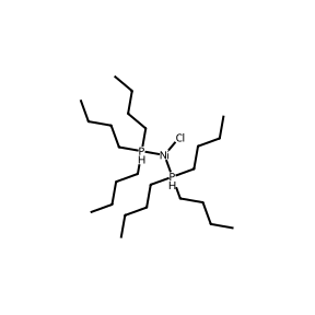 CCCC[PH](CCCC)(CCCC)[Ni]([Cl])[PH](CCCC)(CCCC)CCCC